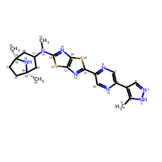 Cc1[nH]ncc1-c1cnc(-c2nc3sc(N(C)C4C[C@]5(C)CC[C@](C)(C4)N5)nc3s2)cn1